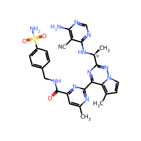 Cc1cc(C(=O)NCc2ccc(S(N)(=O)=O)cc2)nc(-c2nc([C@H](C)Nc3ncnc(N)c3C#N)nn3ccc(C)c23)n1